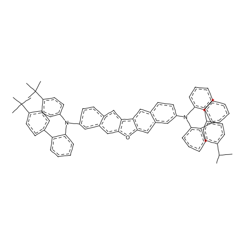 CC(C)c1ccc(-c2ccccc2N(c2ccc3cc4c(cc3c2)oc2cc3cc(N(c5ccc(C(C)(C)C)cc5)c5ccccc5-c5ccc(C(C)(C)C)cc5)ccc3cc24)c2ccccc2-c2ccccc2)cc1